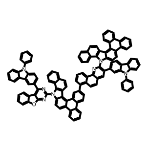 c1ccc(-n2c3ccccc3c3cc(-c4nc(-n5c6ccc7c8ccccc8c8ccc(-c9cccc%10c9ccc9cc(-c%11ccc%12c%13ccccc%13n(-c%13ccccc%13)c%12c%11)c(-n%11c%12ccc%13c%14ccccc%14c%14ccccc%14c%13c%12c%12ccc%13ccccc%13c%12%11)nc9%10)cc8c7c6c6ccc7ccccc7c65)nc5oc6ccccc6c45)ccc32)cc1